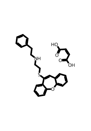 C1=C(SCCNCCc2ccccc2)c2ccccc2Oc2ccccc21.O=C(O)/C=C\C(=O)O